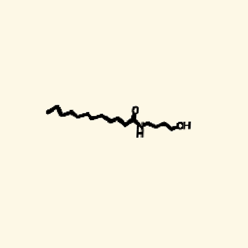 CCCCCCCCCCCC(=O)NCCCCO